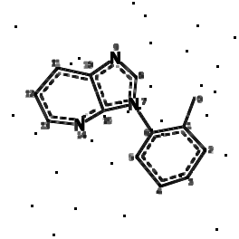 Cc1ccccc1-n1cnc2cccnc21